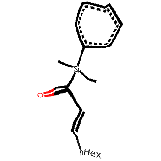 CCCCCCC=CC(=O)[Si](C)(C)c1ccccc1